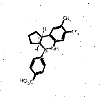 Cc1cc2c(cc1C(F)(F)F)N[C@@H](c1ccc(C(=O)O)cc1)[C@H]1CCC[C@@H]21